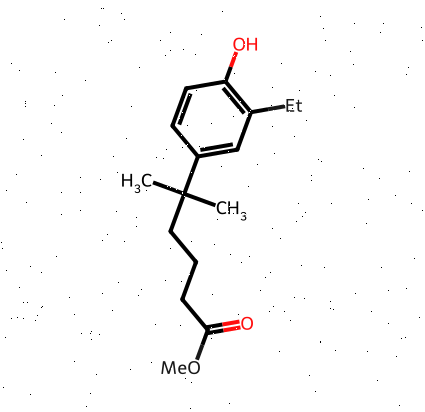 CCc1cc(C(C)(C)CCCC(=O)OC)ccc1O